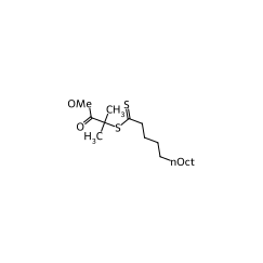 CCCCCCCCCCCCC(=S)SC(C)(C)C(=O)OC